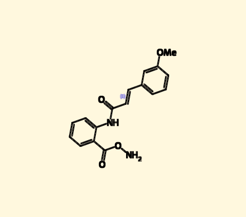 COc1cccc(/C=C/C(=O)Nc2ccccc2C(=O)ON)c1